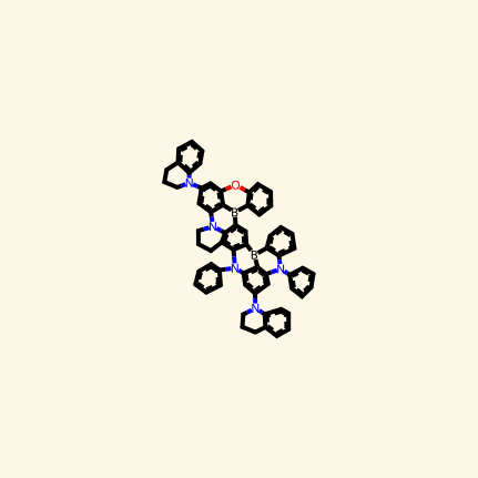 c1ccc(N2c3ccccc3B3c4cc5c6c(c4N(c4ccccc4)c4cc(N7CCCc8ccccc87)cc2c43)CCCN6c2cc(N3CCCc4ccccc43)cc3c2B5c2ccccc2O3)cc1